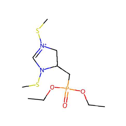 CCOP(=O)(CC1C[N+](SC)=CN1SC)OCC